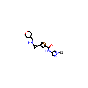 CCn1cc(NC(=O)c2cc(C3CC3NCC3CCOCC3)cs2)cn1